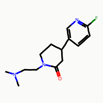 CN(C)CCN1CCC(c2ccc(F)nc2)CC1=O